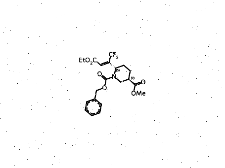 CCOC(=O)C=C([C@@H]1CC[C@@H](C(=O)OC)CN1C(=O)OCc1ccccc1)C(F)(F)F